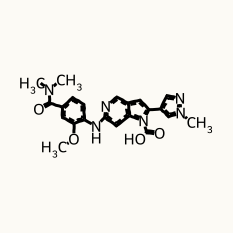 COc1cc(C(=O)N(C)C)ccc1Nc1cc2c(cn1)cc(-c1cnn(C)c1)n2C(=O)O